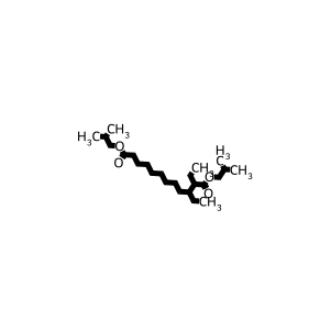 CCC(CCCCCCCCC(=O)OCC(C)C)C(CC)C(=O)OCC(C)C